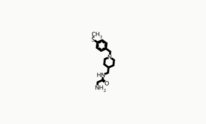 CSc1ccc(CN2CCC(CNC(=O)CN)CC2)cc1